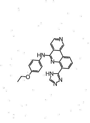 CCOc1ccc(Nc2nc3c(-c4nnc[nH]4)cccc3c3cnccc23)cc1